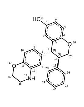 Oc1ccc2c(c1)[C@@H](c1ccc3c(c1)NCCO3)[C@H](c1ccccc1)CO2